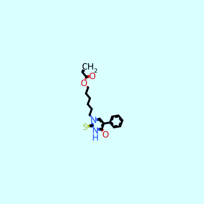 C=CC(=O)OCCCCCCn1cc(-c2ccccc2)c(=O)[nH]c1=S